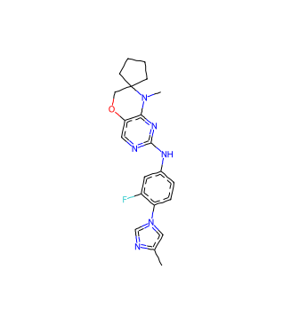 Cc1cn(-c2ccc(Nc3ncc4c(n3)N(C)C3(CCCC3)CO4)cc2F)cn1